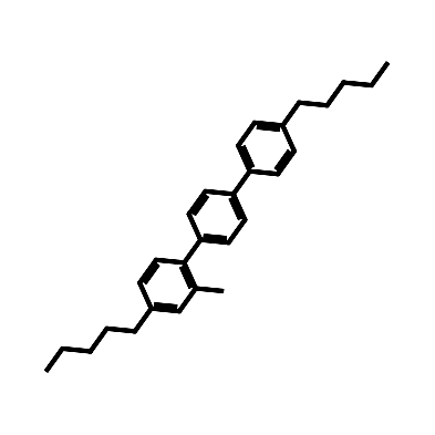 CCCCCc1ccc(-c2ccc(-c3ccc(CCCCC)cc3C)cc2)cc1